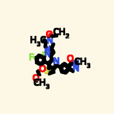 C=CC(=O)N1Cc2cc(-c3nc(-c4ccc5cnn(C)c(=O)c5c4)c4ccsc4c3-c3c(F)cc(F)cc3OCCOC)nn2CC1C